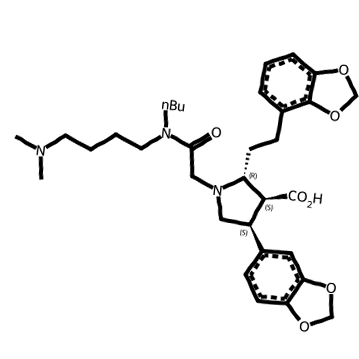 CCCCN(CCCCN(C)C)C(=O)CN1C[C@H](c2ccc3c(c2)OCO3)[C@H](C(=O)O)[C@H]1CCc1cccc2c1OCO2